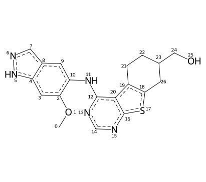 COc1cc2[nH]ncc2cc1Nc1ncnc2sc3c(c12)CCC(CO)C3